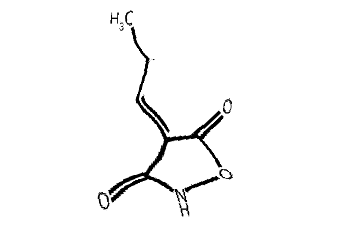 C[CH]C=C1C(=O)NOC1=O